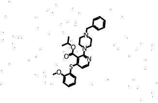 COc1ccccc1Sc1ccnc(N2CCN(Cc3ccccc3)CC2)c1C(=O)OC(C)C